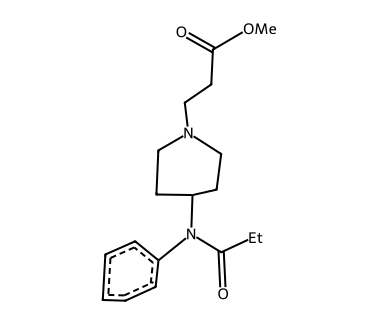 CCC(=O)N(c1ccccc1)C1CCN(CCC(=O)OC)CC1